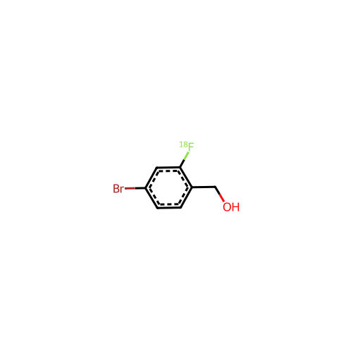 OCc1ccc(Br)cc1[18F]